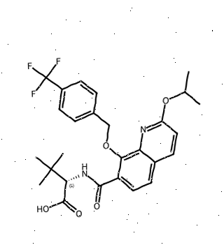 CC(C)Oc1ccc2ccc(C(=O)N[C@H](C(=O)O)C(C)(C)C)c(OCc3ccc(C(F)(F)F)cc3)c2n1